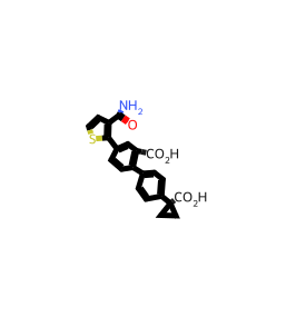 NC(=O)c1ccsc1-c1ccc(-c2ccc(C3(C(=O)O)CC3)cc2)c(C(=O)O)c1